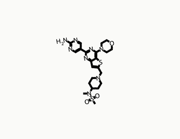 CN(C1CCN(Cc2cc3nc(-c4cnc(N)nc4)nc(N4CCOCC4)c3s2)CC1)S(C)(=O)=O